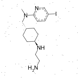 CN(C[C@H]1CC[C@H](NCCN)CC1)c1ccc(I)cn1